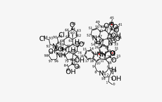 CC[C@]1(O)C[C@@H]2CN(CCc3c([nH]c4ccccc34)[C@@](C(=O)OC)(c3ccc4c(c3OC)N(C=O)[C@H]3[C@@](O)(C(=O)OC)[C@H](OC(C)=O)[C@]5(CC)C=CCN6CC[C@]43[C@@H]65)C2)C1.C[C@]12C=CC(=O)C=C1CC[C@@H]1[C@@H]2C(=O)C[C@@]2(C)[C@H]1CC[C@]2(O)C(=O)CO.O=P1(N(CCCl)CCCl)NCCCO1